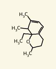 CCC12OC(C)CCC1=CC=C(C)C2C